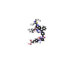 Cc1nc(C)c(-c2ccc3c4c(ccc3n2)-c2c(C3CCCCC3)c3ccc(C(=O)NC5(C(=O)Nc6ccc(/C=C/C(=O)O)cc6)CCC5)cc3n2CCN4C(=O)OC(C)(C)C)s1